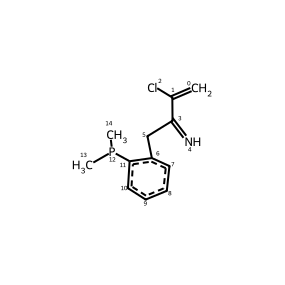 C=C(Cl)C(=N)Cc1ccccc1P(C)C